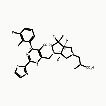 CCOC(=O)C1=C(CN2CC(F)(F)[C@H]3CN(CC(C)C(=O)O)C[C@H]32)NC(c2nccs2)=N[C@H]1c1cccc(F)c1C